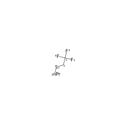 CCCSCC(F)(F)F